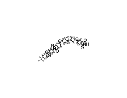 CC(C)(C)c1ccc(S(=O)(=O)c2ccc(N3C(=O)c4ccc(Oc5ccc(C(C)(C)c6ccc(Oc7ccc8c(c7)C(=O)NC8=O)cc6)cc5)cc4C3=O)cc2)cc1